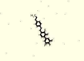 CCCc1ccc(CCc2ccc(-c3cc(F)c(F)c(F)c3)c(F)c2F)cc1